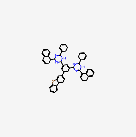 C1=CCCC(C2=NC(C3CC=Cc4ccccc43)NC(c3cc(-c4ccc5c(c4)sc4ccccc45)cc(C4N=C(C5=CCCc6ccccc65)NC(C5C=CC=CC5)N4)c3)N2)=C1